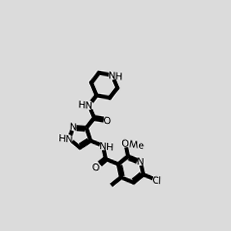 COc1nc(Cl)cc(C)c1C(=O)Nc1c[nH]nc1C(=O)NC1CCNCC1